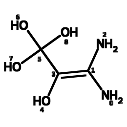 NC(N)=C(O)C(O)(O)O